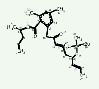 C=CC[C@@H](C)OC(=O)c1c(C)cc(C)cc1CC(=O)/C=C/C[C@H](/C=C/C)O[Si](C)(C)C(C)(C)C